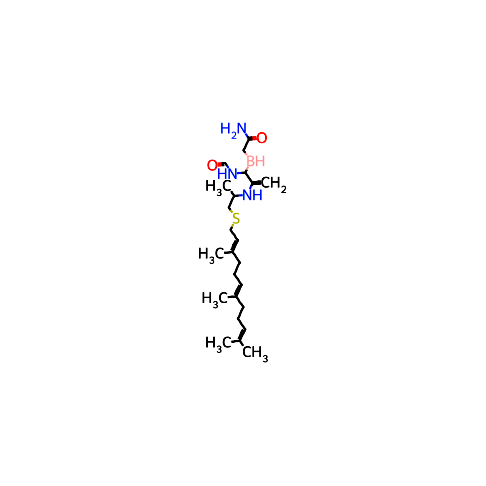 C=C(NC(C)CSC/C=C(\C)CC/C=C(\C)CCC=C(C)C)C(BCC(N)=O)NC=O